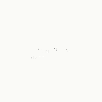 CC(=O)CCN1C(C)CN(C(=O)OC(C)(C)C)CC1C